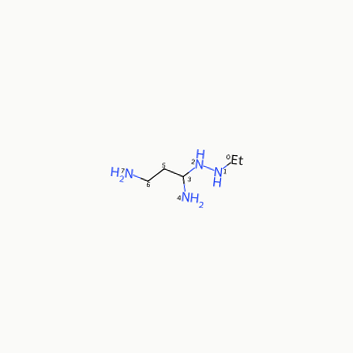 CCNNC(N)CCN